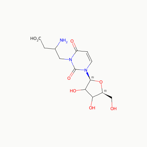 NC(CC(=O)O)Cn1c(=O)ccn([C@H]2O[C@@H](CO)C(O)C2O)c1=O